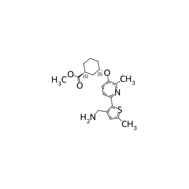 COC(=O)[C@H]1CCC[C@H](Oc2ccc(-c3sc(C)cc3CN)nc2C)C1